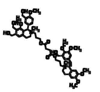 COc1ccc(C2c3c(cc(CO)c(CO)c3OC)CC[N+]2(C)CCCOC(=O)CCC(=O)OCCC[N+]2(C)CCc3cc(OC)c(OC)cc3C2Cc2cc(CO)c(OC)c(OC)c2)cc1CO